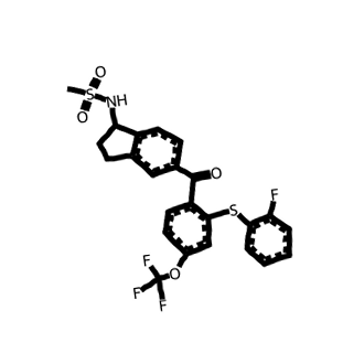 CS(=O)(=O)NC1CCc2cc(C(=O)c3ccc(OC(F)(F)F)cc3Sc3ccccc3F)ccc21